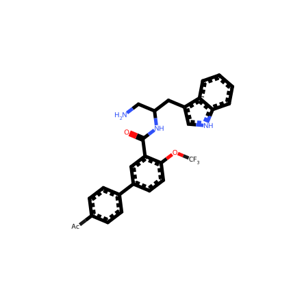 CC(=O)c1ccc(-c2ccc(OC(F)(F)F)c(C(=O)NC(CN)Cc3c[nH]c4ccccc34)c2)cc1